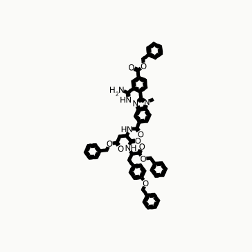 Cn1c(-c2ccc(C(=O)OCc3ccccc3)cc2C(=N)N)nc2cc(C(=O)NC(CC(=O)OCc3ccccc3)C(=O)NC(Cc3ccc(OCc4ccccc4)cc3)C(=O)OCc3ccccc3)ccc21